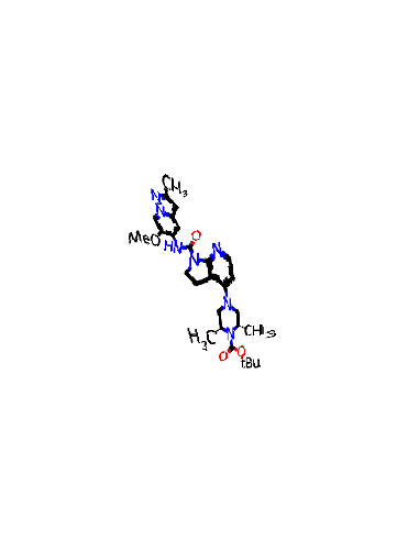 COc1cn2nc(C)cc2cc1NC(=O)N1CCc2c(N3C[C@@H](C)N(C(=O)OC(C)(C)C)[C@@H](C)C3)ccnc21